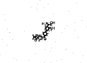 CNc1cc(-c2ccc(C(=O)N3CCN(C(=O)C4(O)CC4)CC3)cc2)ccc1C(N)CO